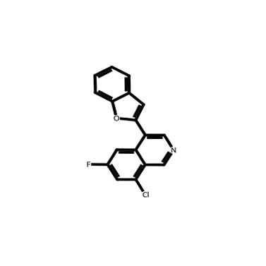 Fc1cc(Cl)c2cncc(-c3cc4ccccc4o3)c2c1